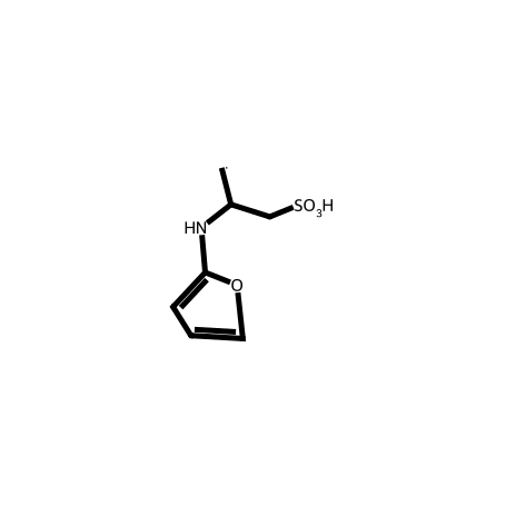 [CH2]C(CS(=O)(=O)O)Nc1ccco1